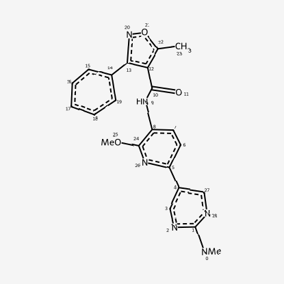 CNc1ncc(-c2ccc(NC(=O)c3c(-c4ccccc4)noc3C)c(OC)n2)cn1